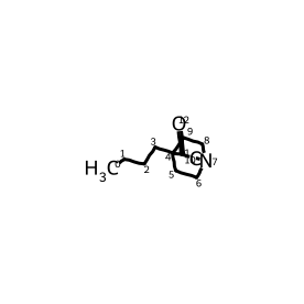 CCCCC12CCN(CC1)CC2=O